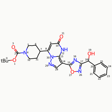 CC(C)(C)OC(=O)N1CCC(c2cc(=O)[nH]c3c(-c4nc(C(O)c5ccccc5)no4)cnn23)CC1